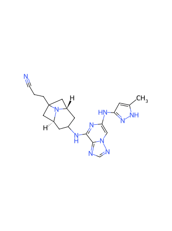 Cc1cc(Nc2cn3ncnc3c(NC3C[C@H]4CC5(CCC#N)C[C@H](C3)N45)n2)n[nH]1